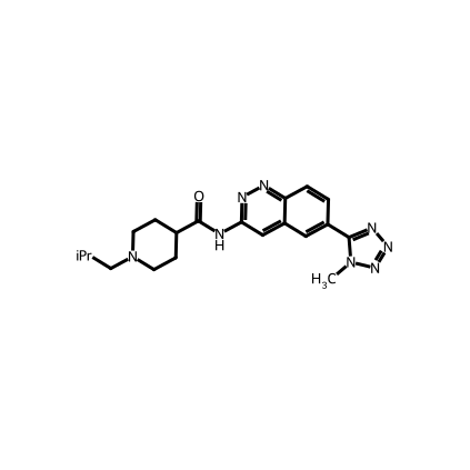 CC(C)CN1CCC(C(=O)Nc2cc3cc(-c4nnnn4C)ccc3nn2)CC1